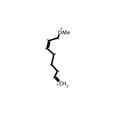 C=CCCC/C=C\COC